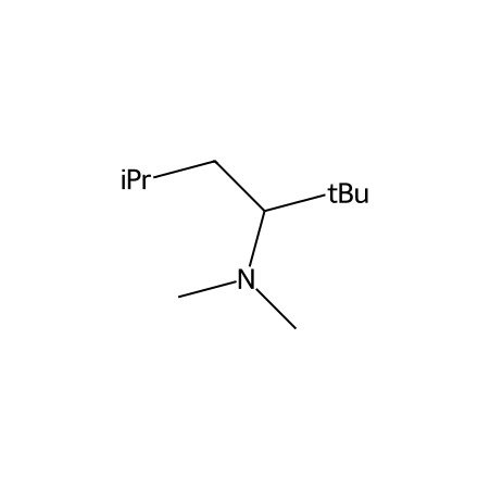 CC(C)CC(N(C)C)C(C)(C)C